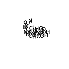 CN(C(=O)n1ccc2c(-c3cnn(C(CC#N)C4CCCC4)c3)ncnc21)c1cc(Cl)ccc1O[C@@H]1O[C@H](C(=O)O)[C@@H](O)[C@H](O)[C@H]1O